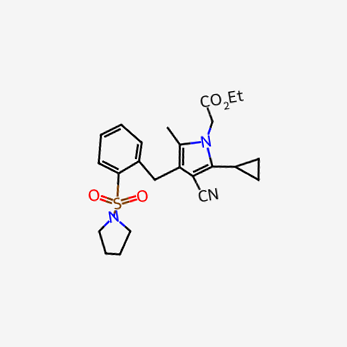 CCOC(=O)Cn1c(C)c(Cc2ccccc2S(=O)(=O)N2CCCC2)c(C#N)c1C1CC1